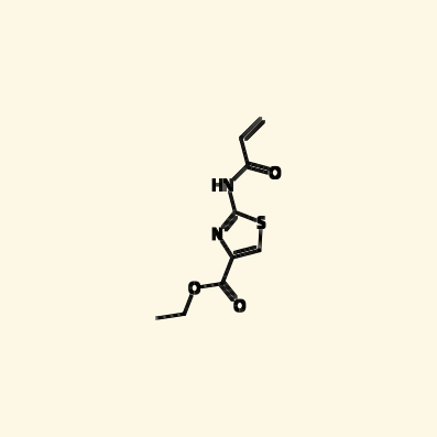 C=CC(=O)Nc1nc(C(=O)OCC)cs1